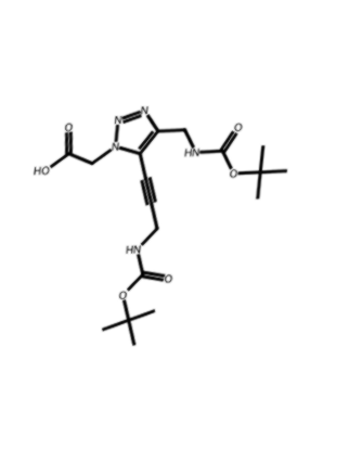 CC(C)(C)OC(=O)NCC#Cc1c(CNC(=O)OC(C)(C)C)nnn1CC(=O)O